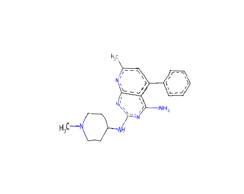 Cc1cc(-c2ccccc2)c2c(N)nc(NC3CCN(C)CC3)nc2n1